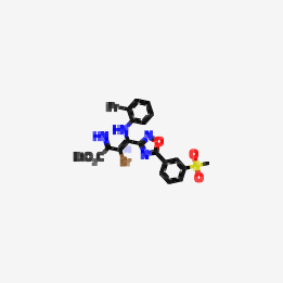 CCOC(=O)C(=N)/C(Br)=C(\Nc1ccccc1C(C)C)c1noc(-c2cccc(S(C)(=O)=O)c2)n1